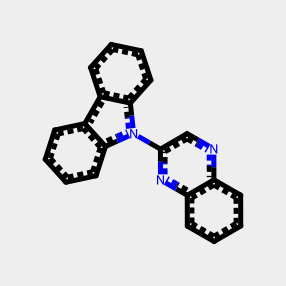 c1ccc2nc(-n3c4ccccc4c4ccccc43)cnc2c1